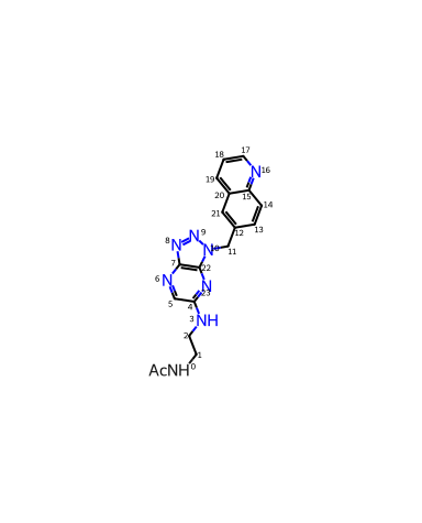 CC(=O)NCCNc1cnc2nnn(Cc3ccc4ncccc4c3)c2n1